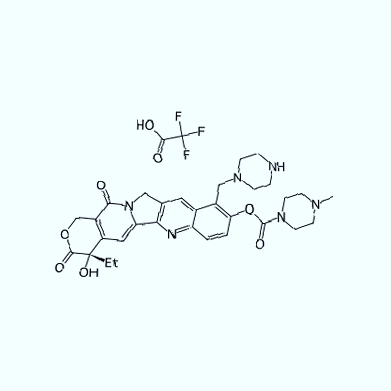 CC[C@@]1(O)C(=O)OCc2c1cc1n(c2=O)Cc2cc3c(CN4CCNCC4)c(OC(=O)N4CCN(C)CC4)ccc3nc2-1.O=C(O)C(F)(F)F